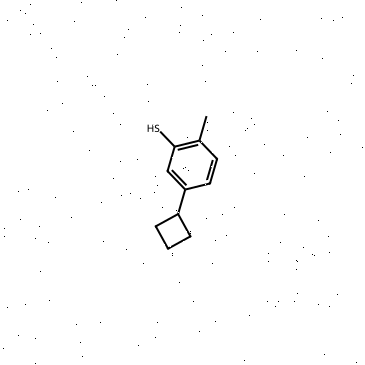 Cc1ccc(C2CCC2)cc1S